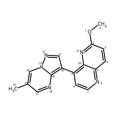 COc1ccc2nccc(-c3cnn4cc(C)cnc34)c2n1